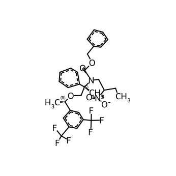 CCC(CN(C(=O)OCc1ccccc1)[C@](C)(CO[C@H](C)c1cc(C(F)(F)F)cc(C(F)(F)F)c1)c1ccccc1)[N+](=O)[O-]